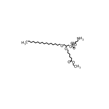 CCCCCCCCCCCCCCCCOCC(COP(=O)(O)OCCN)OCCCCCC(=O)OCC